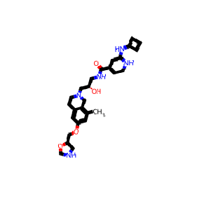 Cc1cc(OCC2CNCO2)cc2c1CN(C[C@@H](O)CNC(=O)C1CCNC(NC3CCC3)C1)CC2